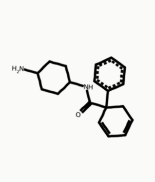 NC1CCC(NC(=O)C2(c3ccccc3)C=CC=CC2)CC1